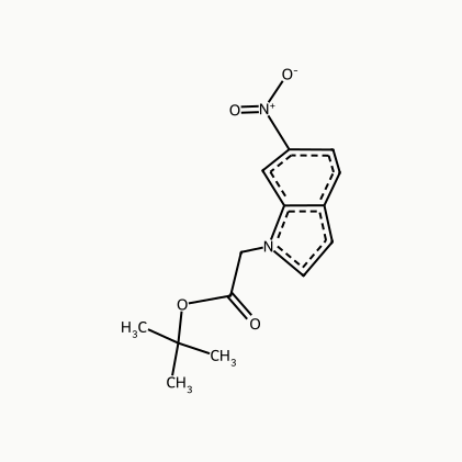 CC(C)(C)OC(=O)Cn1ccc2ccc([N+](=O)[O-])cc21